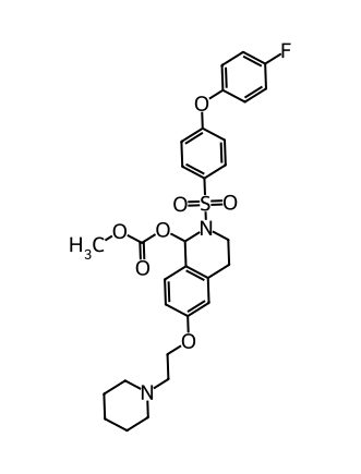 COC(=O)OC1c2ccc(OCCN3CCCCC3)cc2CCN1S(=O)(=O)c1ccc(Oc2ccc(F)cc2)cc1